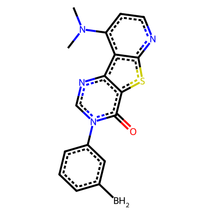 Bc1cccc(-n2cnc3c(sc4nccc(N(C)C)c43)c2=O)c1